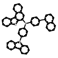 c1ccc2c(-c3ccc(N(c4ccc(-n5c6ccccc6c6ccccc65)cc4)c4cc5ccccc5c5c4oc4ccccc45)cc3)cccc2c1